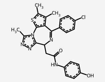 Cc1sc2c(c1C)C(c1ccc(Cl)cc1)=NC(CC(=O)Nc1ccc(O)cc1)c1nnc(C)n1-2